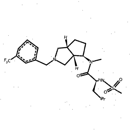 CC(C)C[C@H](NS(C)(=O)=O)C(=O)N(C)[C@@H]1CC[C@H]2CN(Cc3cccc(C(F)(F)F)c3)C[C@H]21